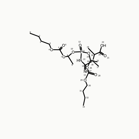 CCCCOC(=O)OC(C)OP(=O)(NC(=N)N(C)C(C)C(=O)O)OC(C)OC(=O)OCCCC